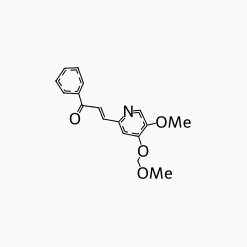 COCOc1cc(C=CC(=O)c2ccccc2)ncc1OC